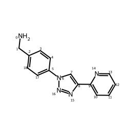 NCc1ccc(-n2cc(-c3ccccn3)nn2)cc1